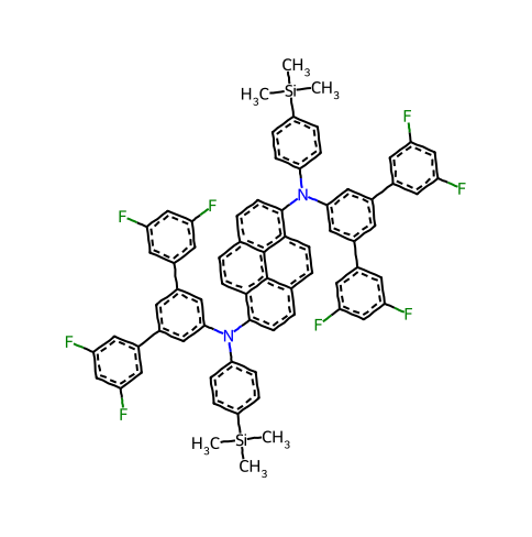 C[Si](C)(C)c1ccc(N(c2cc(-c3cc(F)cc(F)c3)cc(-c3cc(F)cc(F)c3)c2)c2ccc3ccc4c(N(c5ccc([Si](C)(C)C)cc5)c5cc(-c6cc(F)cc(F)c6)cc(-c6cc(F)cc(F)c6)c5)ccc5ccc2c3c54)cc1